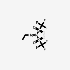 C[CH2][Hg][N](S(=O)(=O)C(F)(F)F)S(=O)(=O)C(F)(F)F